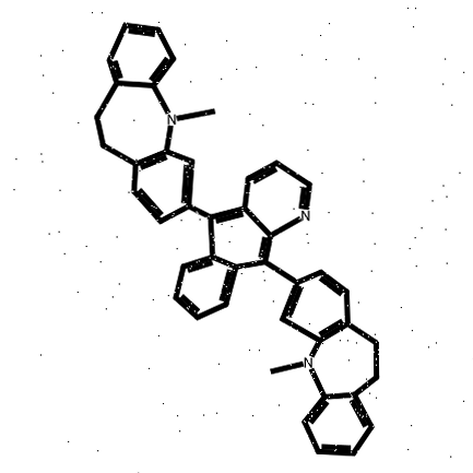 CN1c2ccccc2CCc2ccc(-c3c4ccccc4c(-c4ccc5c(c4)N(C)c4ccccc4CC5)c4ncccc34)cc21